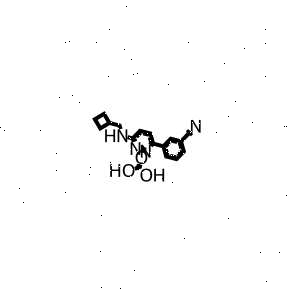 N#Cc1cccc(-c2ccc(NCC3CCC3)nn2)c1.O=C(O)O